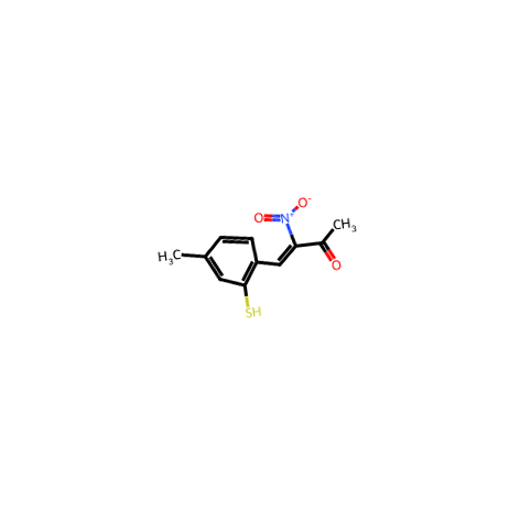 CC(=O)/C(=C/c1ccc(C)cc1S)[N+](=O)[O-]